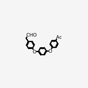 CC(=O)c1ccc(Oc2ccc(Oc3ccc(CC=O)cc3)cc2)cc1